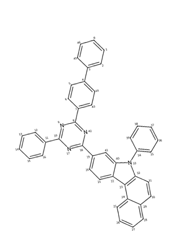 c1ccc(-c2ccc(-c3nc(-c4ccccc4)nc(-c4ccc5c6c7ccccc7ccc6n(-c6ccccc6)c5c4)n3)cc2)cc1